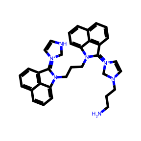 NCCCN1C=C[N+](=C2c3cccc4cccc(c34)N2CCCN2C(=[N+]3C=CNC3)c3cccc4cccc2c34)C1